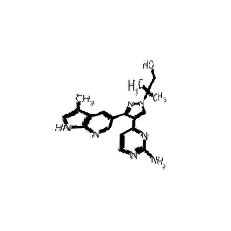 Cc1c[nH]c2ncc(-c3nn(C(C)(C)CO)cc3-c3ccnc(N)n3)cc12